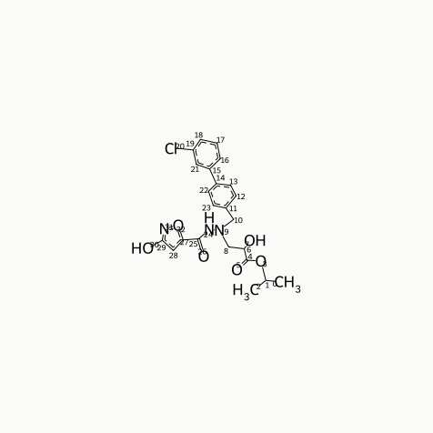 CC(C)OC(=O)C(O)CN(Cc1ccc(-c2cccc(Cl)c2)cc1)NC(=O)c1cc(O)no1